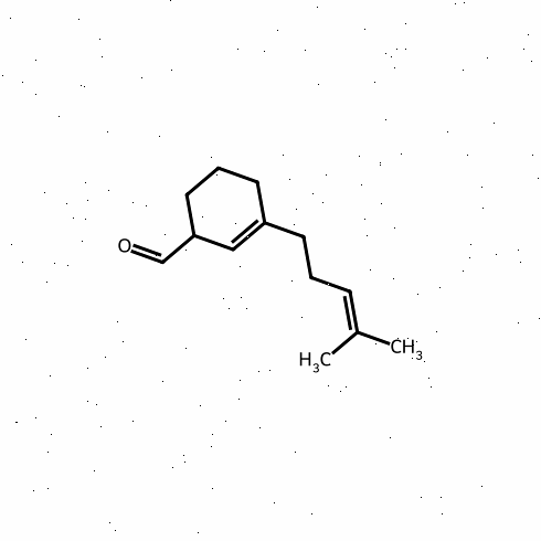 CC(C)=CCCC1=CC(C=O)CCC1